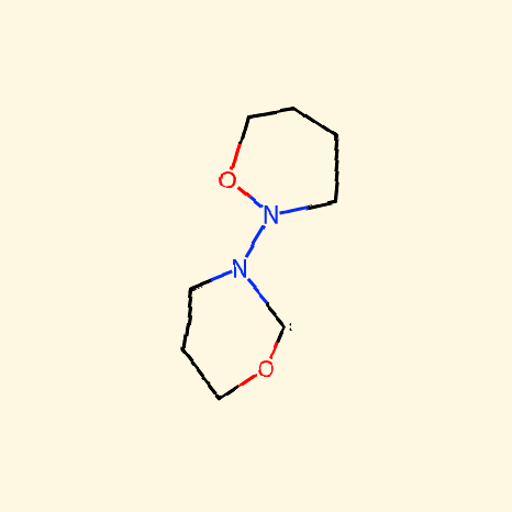 [C]1OCCCN1N1CCCCO1